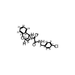 O=C(NCc1ccc(Cl)cc1)C(=O)N1C[C@H]2C[C@H]1c1ccccc1O2